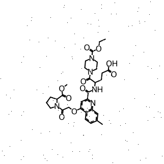 CCOC(=O)N1CCN(C(=O)C(CCC(=O)O)NC(=O)c2cc(OCC(=O)N3CCCC3C(=O)OC)c3ccc(C)cc3n2)CC1